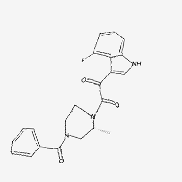 C[C@@H]1CN(C(=O)c2ccccc2)CCN1C(=O)C(=O)c1c[nH]c2cccc(F)c12